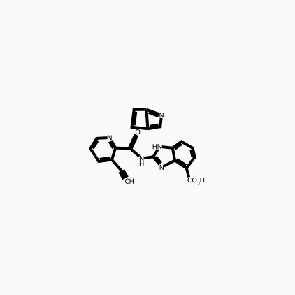 C#Cc1cccnc1C(=O)Nc1nc2c(C(=O)O)cccc2[nH]1.c1cc2ncc1-2